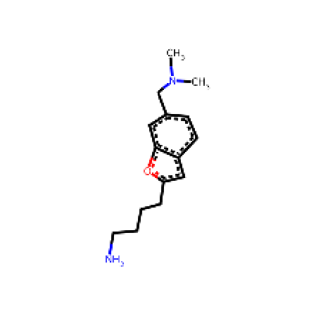 CN(C)Cc1ccc2cc(CCCCN)oc2c1